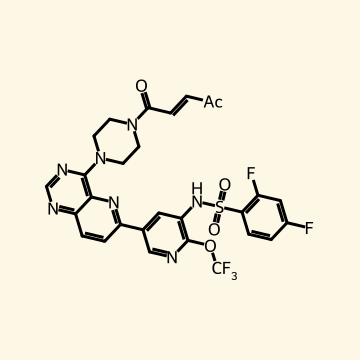 CC(=O)/C=C/C(=O)N1CCN(c2ncnc3ccc(-c4cnc(OC(F)(F)F)c(NS(=O)(=O)c5ccc(F)cc5F)c4)nc23)CC1